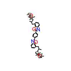 CC(Cc1cccc2nc(-c3ccc(-c4nc5cccc(CC(C)C[Si](C)(C)O[Si](C)(C)C)c5o4)cc3)oc12)C[Si](C)(C)O[Si](C)(C)C